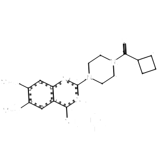 COc1cc2nc(N3CCN(C(=O)C4CCC4)CC3)nc(N)c2cc1OC.Cl.O